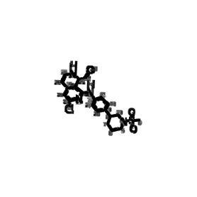 CS(=O)(=O)N1CCCC(c2ccc(Nc3nc(Cl)cc4c3C(C=O)NC=C4)cc2)C1